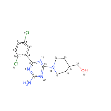 Nc1nc(-c2cc(Cl)ccc2Cl)nc(N2CCC(CO)CC2)n1